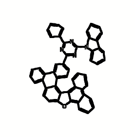 c1ccc(-c2nc(-c3ccc4c(c3)c3ccccc3c3ccc5oc6c7ccccc7c7ccccc7c6c5c34)nc(-n3c4ccccc4c4ccccc43)n2)cc1